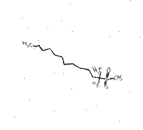 CCCCCCCCCCCC(C)(C)S(C)(=O)=O